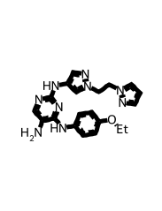 CCOc1ccc(Nc2nc(Nc3cnn(CCn4cccn4)c3)ncc2N)cc1